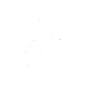 CC[C@H]1O[C@@H](n2cnc3c(NC(=O)c4ccccc4)ccnc32)CC1O[P@@]1O[C@H](C[Si](C)(c2ccccc2)c2ccccc2)[C@@H]2CCCN21